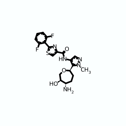 Cn1ncc(NC(=O)c2csc(-c3c(F)cccc3F)n2)c1[C@H]1CC[C@H](N)[C@@H](O)CO1